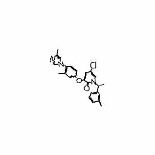 Cc1cccc([C@H](C)n2cc(Cl)cc(Oc3ccc(-n4cnc(C)c4)c(C)c3)c2=O)c1